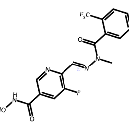 CN(/N=C/c1ncc(C(=O)NO)cc1F)C(=O)c1ccccc1C(F)(F)F